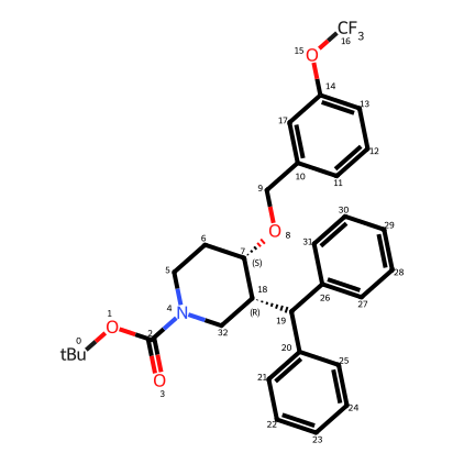 CC(C)(C)OC(=O)N1CC[C@H](OCc2cccc(OC(F)(F)F)c2)[C@H](C(c2ccccc2)c2ccccc2)C1